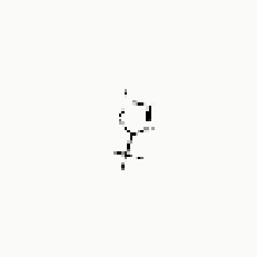 CN1[CH]C(C(F)(F)F)N=C1